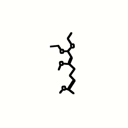 CCOC(/C=C(/CC/C=C(/C)OC)OC)OCC